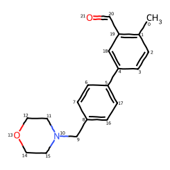 Cc1ccc(-c2ccc(CN3CCOCC3)cc2)cc1C=O